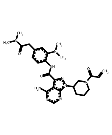 C=CC(=O)N1CCCC(n2nc(C(=O)Nc3ccc(CC(=O)N(C)C)cc3N(C)C)c3c(N)ncnc32)C1